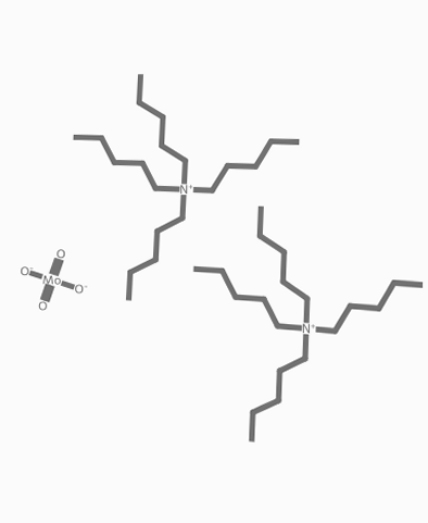 CCCCC[N+](CCCCC)(CCCCC)CCCCC.CCCCC[N+](CCCCC)(CCCCC)CCCCC.[O]=[Mo](=[O])([O-])[O-]